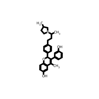 CC1=C(c2cccc(O)c2)C(c2ccc(CCC(C)N3CCC(C)C3)cc2)Oc2ccc(O)cc21